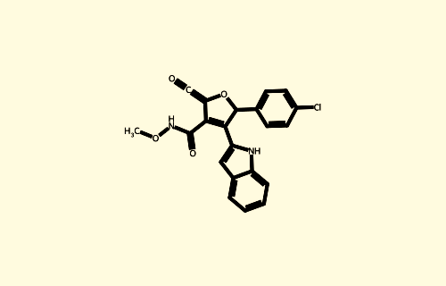 CONC(=O)C1=C(c2cc3ccccc3[nH]2)C(c2ccc(Cl)cc2)OC1=C=O